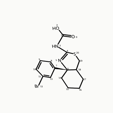 O=C(O)NC1=N[C@@]2(c3cccc(Br)c3)CCCCC2CS1